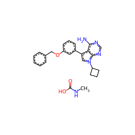 CNC(=O)O.Nc1ncnc2c1c(-c1cccc(OCc3ccccc3)c1)cn2C1CCC1